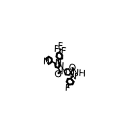 O=C(c1cc(-c2cccnc2)n(-c2ccc(C(F)(F)F)cc2)n1)N1CCC2(CC1)C(=O)NCN2c1ccc(F)cc1